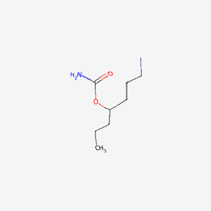 CCCC(CCCI)OC(N)=O